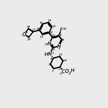 O=C(O)[C@H]1CC[C@H](Nc2ncc(F)c(-c3cccc(C4COC4)c3)n2)CC1